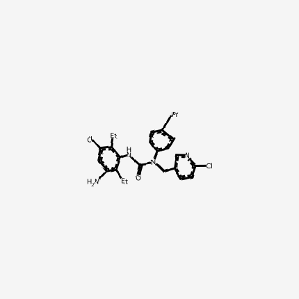 CCc1c(N)cc(Cl)c(CC)c1NC(=O)N(Cc1ccc(Cl)nc1)c1ccc(C(C)C)cc1